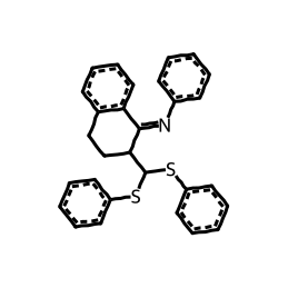 c1ccc(N=C2c3ccccc3CCC2C(Sc2ccccc2)Sc2ccccc2)cc1